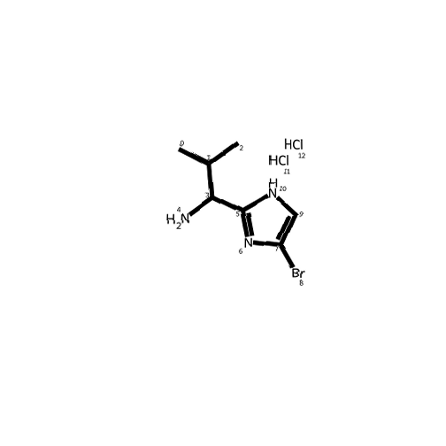 CC(C)C(N)c1nc(Br)c[nH]1.Cl.Cl